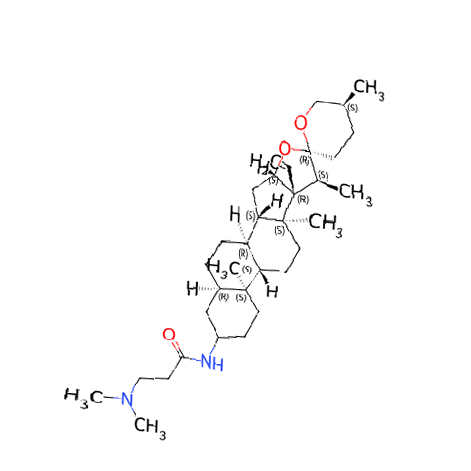 C=C[C@]12[C@H](C[C@H]3[C@@H]4CC[C@@H]5CC(NC(=O)CCN(C)C)CC[C@]5(C)[C@H]4CC[C@@]31C)O[C@]1(CC[C@H](C)CO1)[C@H]2C